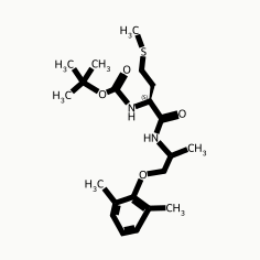 CSCC[C@H](NC(=O)OC(C)(C)C)C(=O)NC(C)COc1c(C)cccc1C